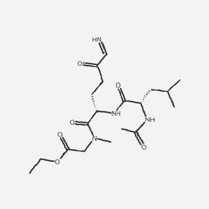 CCOC(=O)CN(C)C(=O)[C@H](CCC(=O)C=N)NC(=O)[C@H](CC(C)C)NC(C)=O